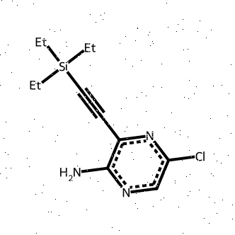 CC[Si](C#Cc1nc(Cl)cnc1N)(CC)CC